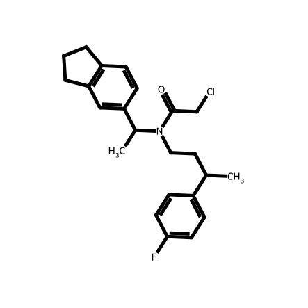 CC(CCN(C(=O)CCl)C(C)c1ccc2c(c1)CCC2)c1ccc(F)cc1